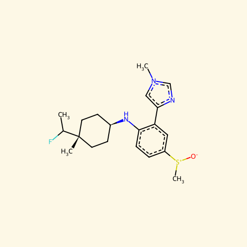 CC(F)[C@]1(C)CC[C@@H](Nc2ccc([S+](C)[O-])cc2-c2cn(C)cn2)CC1